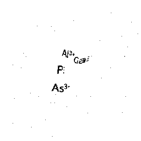 [Al+3].[As-3].[Ga].[P]